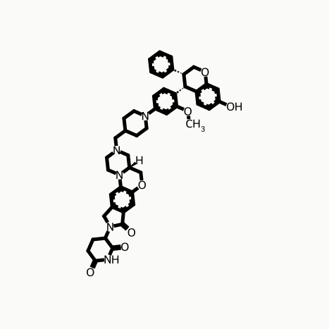 COc1cc(N2CCC(CN3CCN4c5cc6c(cc5OC[C@H]4C3)C(=O)N(C3CCC(=O)NC3=O)C6)CC2)ccc1[C@H]1c2ccc(O)cc2OC[C@H]1c1ccccc1